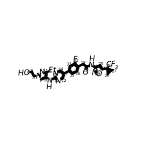 CCc1nn(CCO)cc1Nc1ncc(-c2ccc(CC(=O)Nc3cc(C4(C(F)(F)F)CC4)on3)c(F)c2)cn1